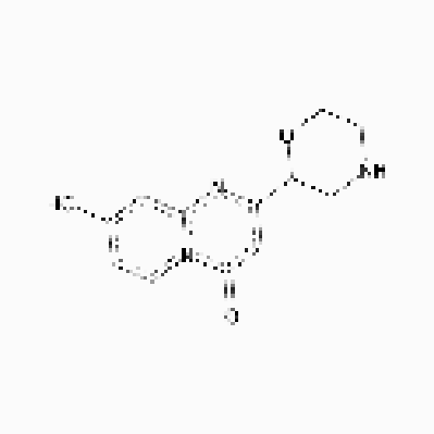 O=c1cc(C2CNCCO2)nc2cc(O)ccn12